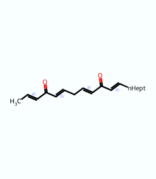 C/C=C/C(=O)/C=C/C/C=C/C(=O)/C=C/CCCCCCC